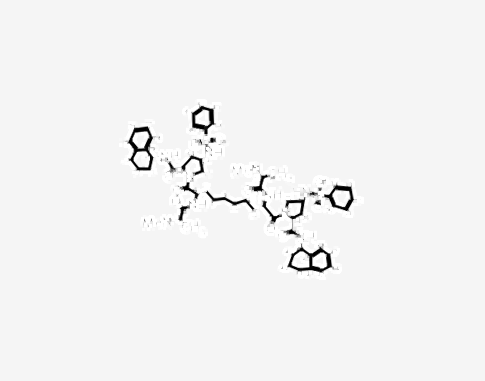 CN[C@@H](C)C(=O)N[C@@H](CCCCCC[C@H](NC(=O)[C@H](C)NC)C(=O)N1C[C@@H](NS(=O)(=O)c2ccccc2)C[C@H]1C(=O)N[C@@H]1CCCc2ccccc21)C(=O)N1C[C@@H](NS(=O)(=O)c2ccccc2)C[C@H]1C(=O)N[C@@H]1CCCc2ccccc21